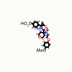 COc1ccc(OCCN(C)C2(C(=O)NC3(c4ccc(C(=O)O)cc4)CC3)CCOCC2)cc1